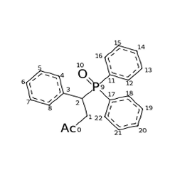 CC(=O)CC(c1ccccc1)P(=O)(c1ccccc1)c1ccccc1